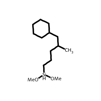 CO[SiH](CCCC(C)CC1CCCCC1)OC